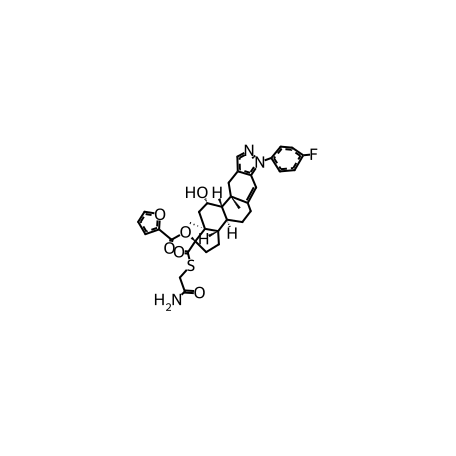 C[C@]12C[C@H](O)[C@H]3[C@@H](CCC4=Cc5c(cnn5-c5ccc(F)cc5)C[C@]43C)[C@@H]1CC[C@]2(OC(=O)c1ccco1)C(=O)SCC(N)=O